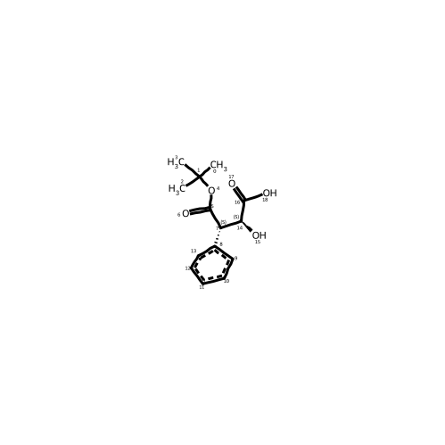 CC(C)(C)OC(=O)[C@@H](c1ccccc1)[C@H](O)C(=O)O